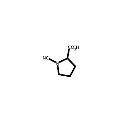 N#CN1CCCC1C(=O)O